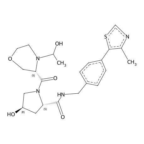 Cc1ncsc1-c1ccc(CNC(=O)[C@@H]2C[C@@H](O)CN2C(=O)[C@@H]2COCCN2C(C)O)cc1